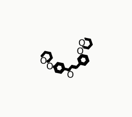 O=C(/C=C/c1cccc(OC2CCCCO2)c1)c1ccc(OC2CCCCO2)cc1